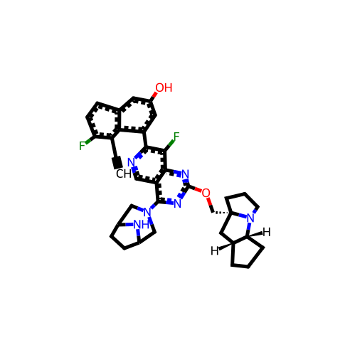 C#Cc1c(F)ccc2cc(O)cc(-c3ncc4c(N5CC6CCC(C5)N6)nc(OC[C@]56CCCN5[C@@H]5CCC[C@@H]5C6)nc4c3F)c12